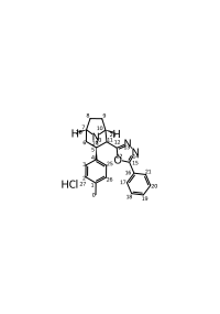 Cc1ccc([C@H]2C[C@@H]3CC[C@H](C2c2nnc(-c4ccccc4)o2)N3C)cc1.Cl